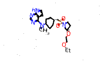 CCOCCO[C@@H]1CCN(S(=O)(=O)C[C@H]2CC[C@H](N(C)c3ncnc4[nH]ccc34)CC2)C1